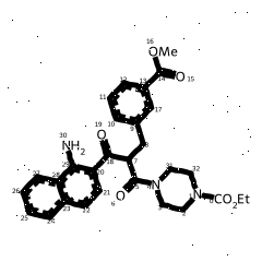 CCOC(=O)N1CCN(C(=O)C(Cc2cccc(C(=O)OC)c2)C(=O)c2ccc3ccccc3c2N)CC1